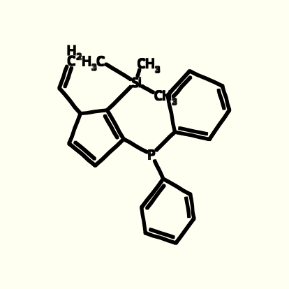 C=CC1C=CC(P(c2ccccc2)c2ccccc2)=C1[Si](C)(C)C